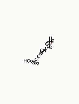 O=C1CC[C@@H](N2C(=O)c3cc4c(cc3C2=O)CN(CC(=O)N2CCC3(CC2)CCN(c2ccc([C@@H]5c6ccc(O)cc6CC[C@@H]5c5ccccc5)cc2)CC3)C4)C(=O)N1